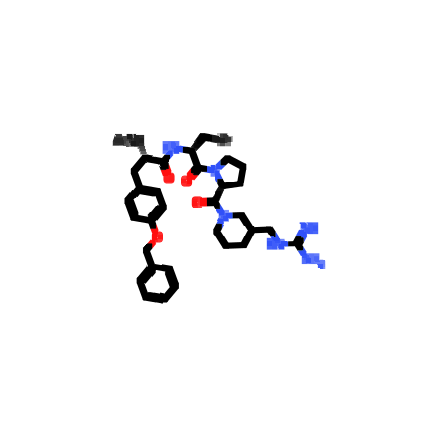 CC(=O)N[C@@H](Cc1ccc(OCc2ccccc2)cc1)C(=O)N[C@@H](CC(C)C)C(=O)N1CCC[C@H]1C(=O)N1CCCC(CNC(=N)N)C1